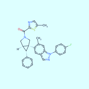 Cc1cnc(C(=O)N2C[C@@H]3[C@@H](c4ccccc4)[C@]3(c3cc4cnn(-c5ccc(F)cc5)c4cc3C)C2)s1